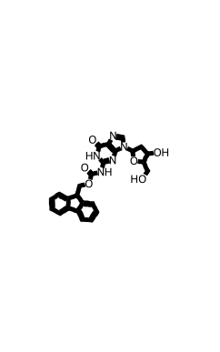 O=C(Nc1nc2c(ncn2C2CC(O)C(CO)O2)c(=O)[nH]1)OCC1c2ccccc2-c2ccccc21